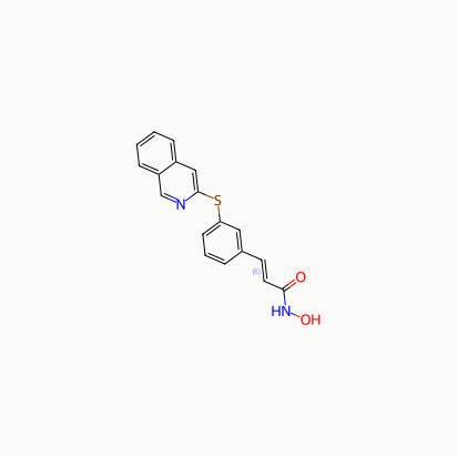 O=C(/C=C/c1cccc(Sc2cc3ccccc3cn2)c1)NO